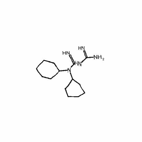 N=C(N)NC(=N)N(C1CCCCC1)C1CCCCC1